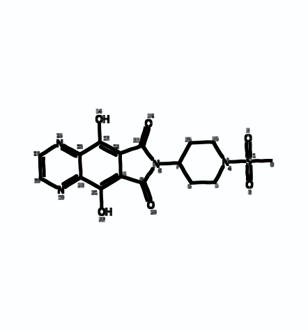 CS(=O)(=O)N1CCC(N2C(=O)c3c(c(O)c4nccnc4c3O)C2=O)CC1